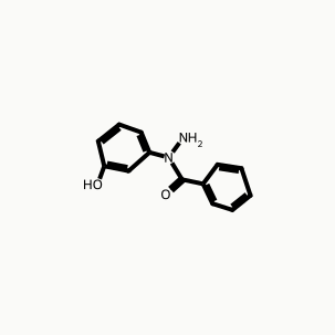 NN(C(=O)c1ccccc1)c1cccc(O)c1